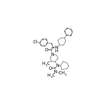 CC1CN(C(=O)[C@@H](Cc2ccc(Cl)cc2)NC2CCC(c3ccccc3)CC2)CCC1N(C(=O)N(C)C)C1CCCCC1